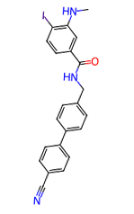 CNc1cc(C(=O)NCc2ccc(-c3ccc(C#N)cc3)cc2)ccc1I